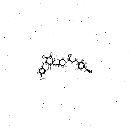 COC(=O)[C@H](Cc1ccc(O)cc1)NC(=O)CC1CCN(C(=O)CCc2ccc(C#N)cc2)CC1